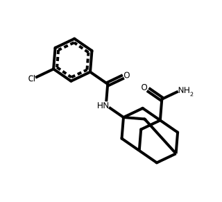 NC(=O)C12CC3CC(CC(NC(=O)c4cccc(Cl)c4)(C3)C1)C2